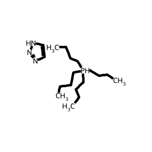 CCCC[PH](CCCC)(CCCC)CCCC.c1c[nH]nn1